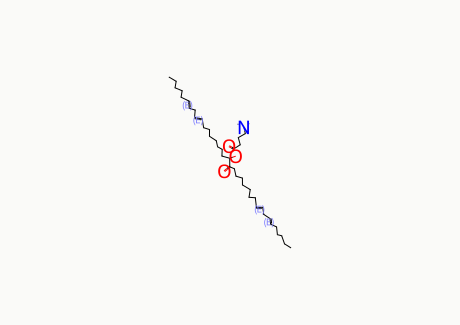 CCCCC/C=C/C/C=C/CCCCCCCC(=O)C(CCCCCCC/C=C/C/C=C/CCCCC)OC(=O)CCCN(C)C